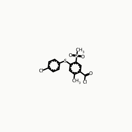 Cc1cc(Sc2ccc(Cl)cc2)c(S(C)(=O)=O)cc1C(=O)Cl